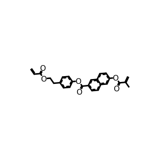 C=CC(=O)OCCc1ccc(OC(=O)c2ccc3cc(OC(=O)C(=C)C)ccc3c2)cc1